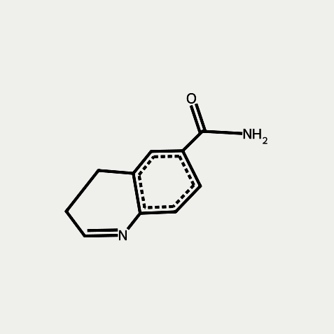 NC(=O)c1ccc2c(c1)CCC=N2